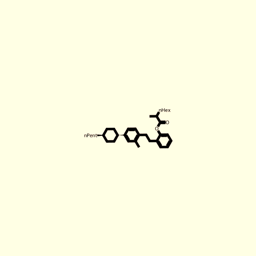 CCCCCCC(C)C(=O)Oc1ccccc1CCc1ccc([C@H]2CC[C@H](CCCCC)CC2)cc1C